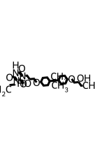 C=CCn1c(=O)[nH]c(=O)n(CC(O)COC2CCC(C(C)(C)C3CCC(OCC(O)CC)CC3)CC2)c1=O